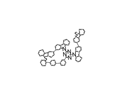 c1ccc(-c2ccc(-c3cccc(-c4nc(-n5c6ccccc6c6ccc(-c7ccc8sc9ccccc9c8c7)cc65)nc(-n5c6ccccc6c6ccc(-c7ccc8sc9ccccc9c8c7)cc65)n4)c3)cc2)cc1